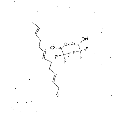 O=C(O)C(F)(F)F.O=C(O)C(F)(F)F.[CH2]C=CCCC=CCCC=C[CH2][Ni]